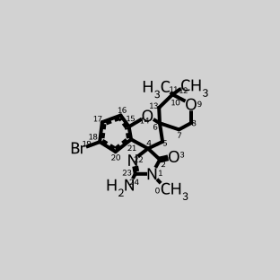 CN1C(=O)C2(CC3(CCOC(C)(C)C3)Oc3ccc(Br)cc32)N=C1N